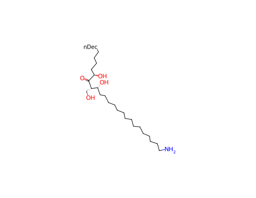 CCCCCCCCCCCCCC[C@@H](O)C(=O)[C@@H](CO)[C@H](O)CCCCCCCCCCCCCCCN